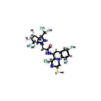 CSc1cnc([C@H](Cc2cc(F)cc(F)c2)NC(=O)Cn2nc(C(F)F)c3c2C(F)(F)[C@H](C)[C@@H]3C)c(Cl)n1